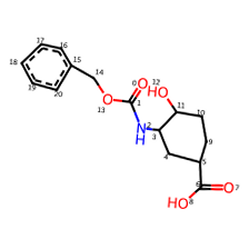 O=C(NC1CC(C(=O)O)CCC1O)OCc1ccccc1